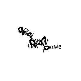 COc1cc(F)cc(-c2nccc3[nH]c(-c4n[nH]c5ccc(-c6cncc(NC(=O)c7ccccc7)c6)cc45)cc23)c1